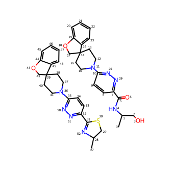 CC(CO)NC(=O)c1ccc(N2CCC3(CC2)COc2ccccc23)nn1.CC1CSC(c2ccc(N3CCC4(CC3)COc3ccccc34)nn2)=N1